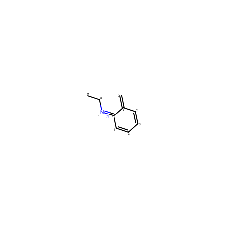 C=C1C=CC=C/C1=N/CC